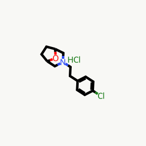 Cl.Clc1ccc(CCN2CC3CCC(C2)O3)cc1